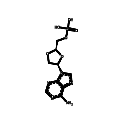 Nc1ncnc2c1ncn2[C@H]1CO[C@@H](COP(=O)(O)O)O1